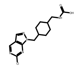 O=C(O)NCC1CCC(Cn2ncc3cnc(Cl)nc32)CC1